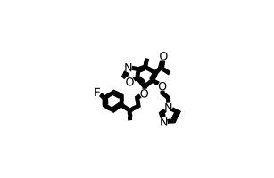 CC(=O)c1c(OCCn2ccnc2)c(OCCC(C)c2ccc(F)cc2)c2ocnc2c1C